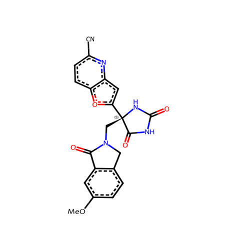 COc1ccc2c(c1)C(=O)N(C[C@@]1(c3cc4nc(C#N)ccc4o3)NC(=O)NC1=O)C2